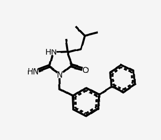 CC(C)CC1(C)NC(=N)N(Cc2cccc(-c3ccccc3)c2)C1=O